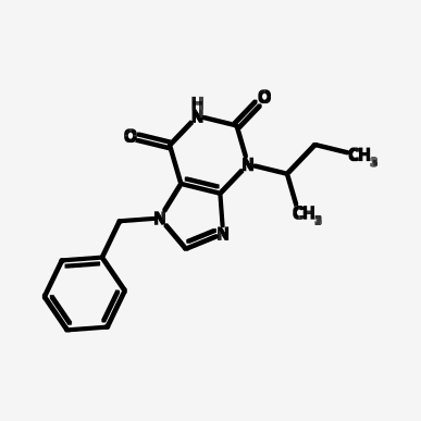 CCC(C)n1c(=O)[nH]c(=O)c2c1ncn2Cc1ccccc1